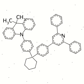 CC1(C)c2ccccc2N(c2ccc(C3(c4ccc(-c5cc(-c6ccccc6)nc(-c6ccccc6)c5)cc4)CCCCC3)cc2)c2ccccc21